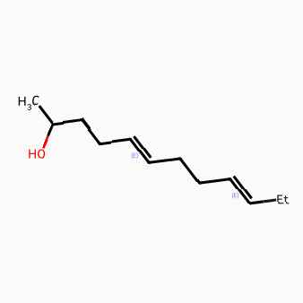 CC/C=C/CC/C=C/CCC(C)O